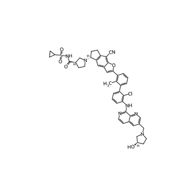 Cc1c(-c2cc3cc4c(c(C#N)c3o2)CC[C@H]4N2CC[C@@H](C(=O)NS(=O)(=O)C3CC3)C2)cccc1-c1cccc(Nc2nccc3cc(CN4CC[C@@H](O)C4)cnc23)c1Cl